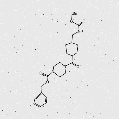 CC(C)(C)OC(=O)NCC1CCC(C(=O)N2CCN(C(=O)OCc3ccccc3)CC2)CC1